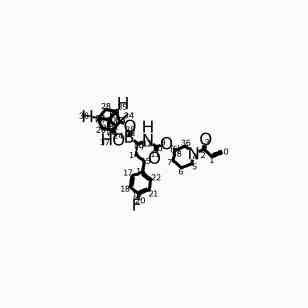 C=CC(=O)N1CCC[C@H](OC(=O)N[C@@H](CCc2ccc(F)cc2)B2O[C@@H]3C[C@@H]4C[C@@H](C4(C)C)[C@]3(C)O2)C1